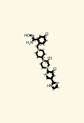 CC[C@H]1CN(c2ncc(-c3ncc[nH]3)cc2Cl)CCN1C1CCN(Cc2ccc(Cl)cc2/C(N)=N/O)CC1